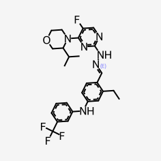 CCc1cc(Nc2cccc(C(F)(F)F)c2)ccc1/C=N/Nc1ncc(F)c(N2CCOCC2C(C)C)n1